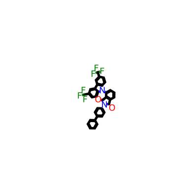 O=C1c2cccc(-n3c4ccc(C(F)(F)F)cc4c4cc(C(F)(F)F)ccc43)c2C(=O)N1c1ccc(-c2ccccc2)cc1